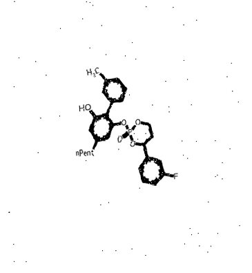 CCCCCc1cc(O)c(-c2cccc(C)c2)c(OP2(=O)OCCC(c3cccc(F)c3)O2)c1